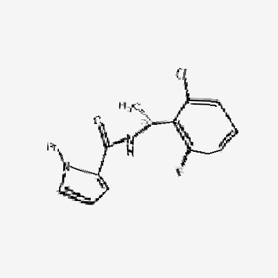 CC(C)n1cccc1C(=O)N[C@H](C)c1c(F)cccc1Cl